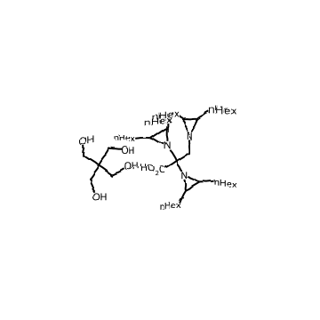 CCCCCCC1C(CCCCCC)N1CC(C(=O)O)(N1C(CCCCCC)C1CCCCCC)N1C(CCCCCC)C1CCCCCC.OCC(CO)(CO)CO